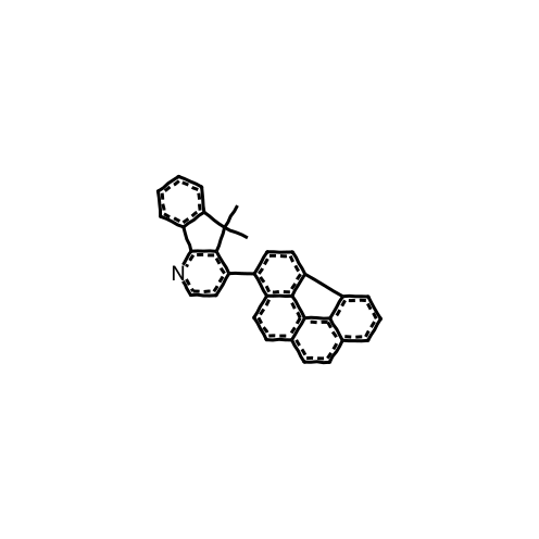 CC1(C)c2ccccc2-c2nccc(-c3ccc4c5c3ccc3ccc6cccc-4c6c35)c21